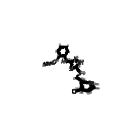 COc1ccccc1Nc1n[nH]c(SCc2sccc2Cl)n1